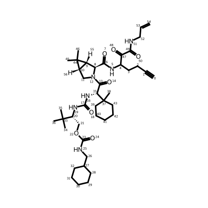 C#CCCC(NC(=O)[C@@H]1[C@@H]2[C@H](CN1C(=O)[C@@H](NC(=O)N[C@H](COC(=O)NCC1CCCCC1)C(C)(C)C)C1(C)CCCCC1)C2(C)C)C(=O)C(=O)NCC=C